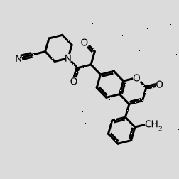 Cc1ccccc1-c1cc(=O)oc2cc(C(C=O)C(=O)N3CCCC(C#N)C3)ccc12